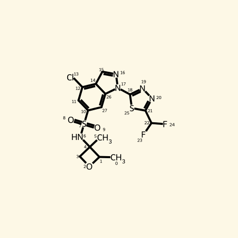 CC1OCC1(C)NS(=O)(=O)c1cc(Cl)c2cnn(-c3nnc(C(F)F)s3)c2c1